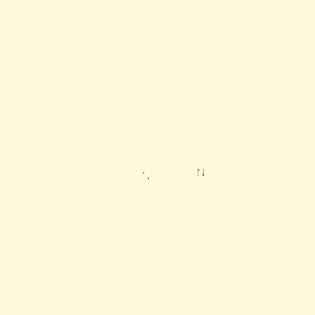 CCc1cnc2c(c1)CN(Cc1ccccc1)CC2